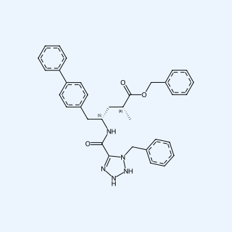 C[C@H](C[C@@H](Cc1ccc(-c2ccccc2)cc1)NC(=O)C1=NNNN1Cc1ccccc1)C(=O)OCc1ccccc1